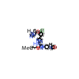 COCCCOc1nn([C@H]2CC[C@H](N3C=C4C[C@@H]3CO4)CC2)cc1Nc1ncc(-c2ccc(Cl)c(O[C@@H](C)Cn3cncn3)c2)cn1